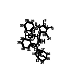 CC1=C(C)C(C)[C]([Hf]([NH]C(=O)C23CC4CC(CC2C4)C3)[SiH](c2ccccc2)c2ccccc2)=C1C